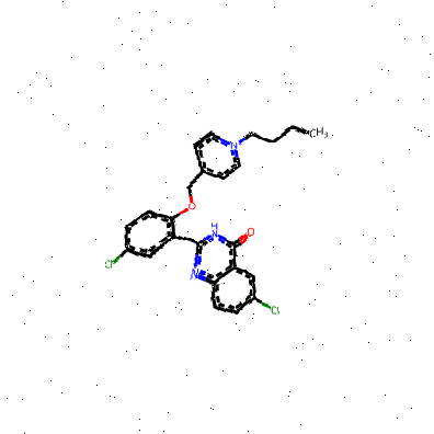 CCCC[n+]1ccc(COc2ccc(Cl)cc2-c2nc3ccc(Cl)cc3c(=O)[nH]2)cc1